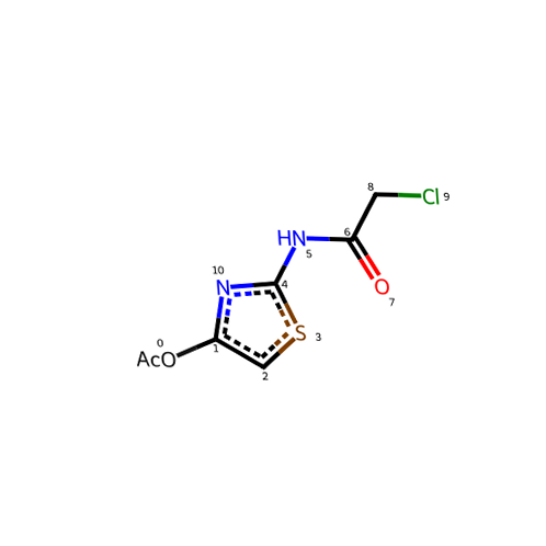 CC(=O)Oc1csc(NC(=O)CCl)n1